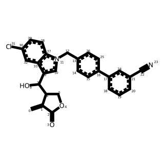 C=C1C(=O)OCC1C(O)c1cn(Cc2ccc(-c3cccc(C#N)c3)cc2)c2ccc(Cl)cc12